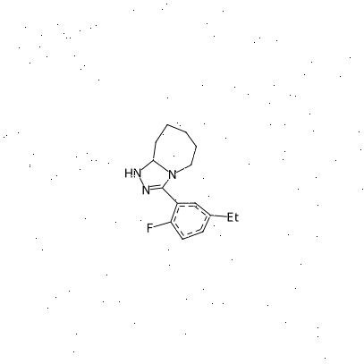 CCc1ccc(F)c(C2=NNC3CCCCCN23)c1